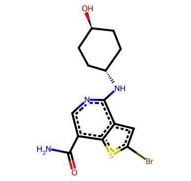 NC(=O)c1cnc(N[C@H]2CC[C@H](O)CC2)c2cc(Br)sc12